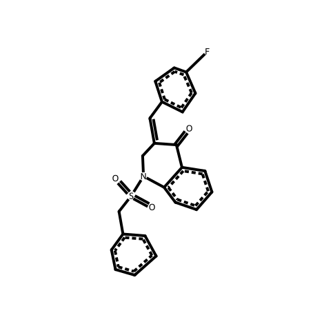 O=C1C(=Cc2ccc(F)cc2)CN(S(=O)(=O)Cc2ccccc2)c2ccccc21